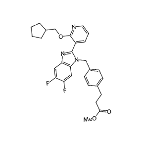 COC(=O)CCc1ccc(Cn2c(-c3cccnc3OCC3CCCC3)nc3cc(F)c(F)cc32)cc1